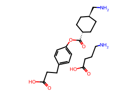 NCCCC(=O)O.NC[C@H]1CC[C@H](C(=O)Oc2ccc(CCC(=O)O)cc2)CC1